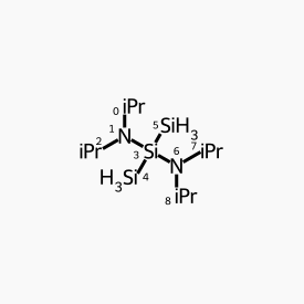 CC(C)N(C(C)C)[Si]([SiH3])([SiH3])N(C(C)C)C(C)C